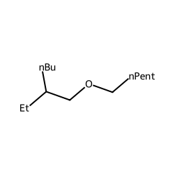 [CH2]CCCCCOCC(CC)CCCC